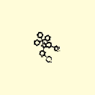 c1ccc(C(c2ccccc2)(c2ccccc2)n2nc(-c3ccnc(N4CCOCC4)c3)c3cc(-c4cn[nH]c4)ccc32)cc1